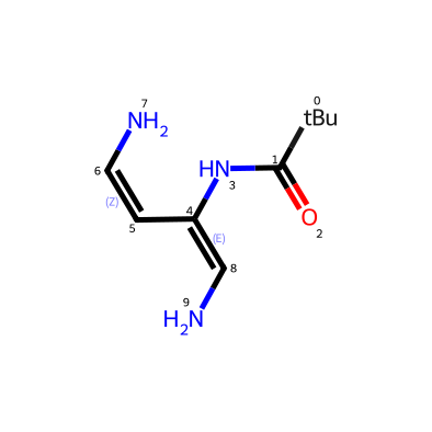 CC(C)(C)C(=O)NC(/C=C\N)=C/N